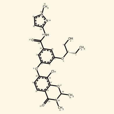 CC[C@@H](CO)Oc1cc(Oc2ccc3c(c2Cl)OC(C)N(C)C3=O)cc(C(=O)Nc2ccn(C)n2)c1